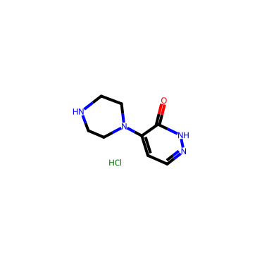 Cl.O=c1[nH]nccc1N1CCNCC1